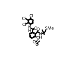 CSCC(C)(C)NC(=O)c1c(OS(C)(=O)=O)cccc1C(=O)Nc1ccc(Cl)c(Cl)c1Cl